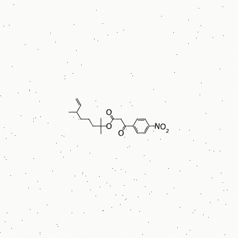 C=CC(C)CCCC(C)(C)OC(=O)CC(=O)c1ccc([N+](=O)[O-])cc1